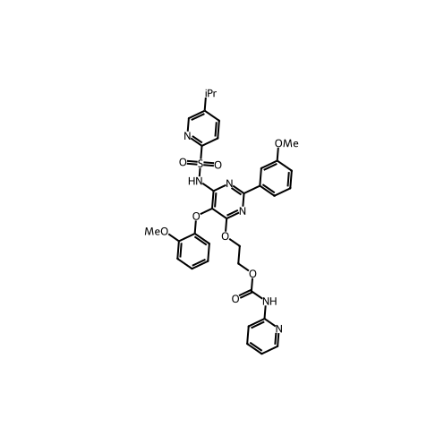 COc1cccc(-c2nc(NS(=O)(=O)c3ccc(C(C)C)cn3)c(Oc3ccccc3OC)c(OCCOC(=O)Nc3ccccn3)n2)c1